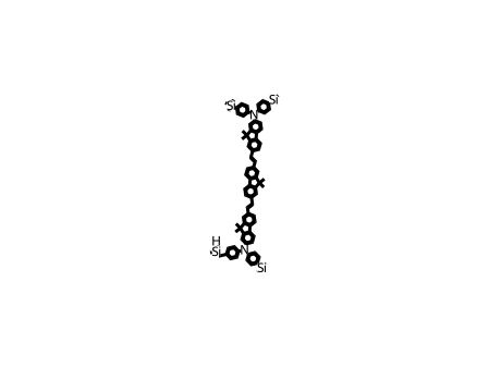 C[SiH](C)Cc1ccc(N(c2ccc([Si](C)(C)C)cc2)c2ccc3c(c2)C(C)(C)c2cc(/C=C/c4ccc5c(c4)C(C)(C)c4cc(/C=C/c6ccc7c(c6)C(C)(C)c6cc(N(c8ccc([Si](C)(C)C)cc8)c8ccc([Si](C)(C)C)cc8)ccc6-7)ccc4-5)ccc2-3)cc1